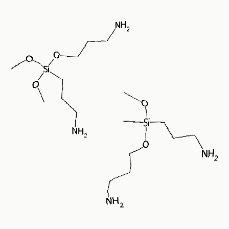 CO[Si](C)(CCCN)OCCCN.CO[Si](CCCN)(OC)OCCCN